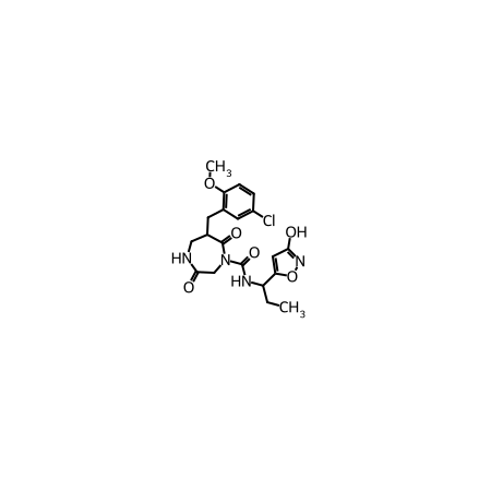 CCC(NC(=O)N1CC(=O)NCC(Cc2cc(Cl)ccc2OC)C1=O)c1cc(O)no1